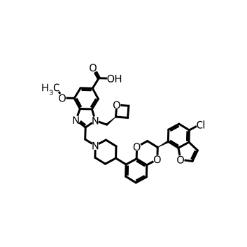 COc1cc(C(=O)O)cc2c1nc(CN1CCC(c3cccc4c3OC[C@@H](c3ccc(Cl)c5ccoc35)O4)CC1)n2C[C@@H]1CCO1